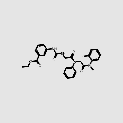 CCOC(=O)c1cccc(NC(=O)NCC(=O)N(CC(=O)N(C)c2ccccc2F)c2ccccc2)c1